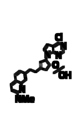 CNc1ccc2ccc(CCC3=CC(n4ccc5c(Cl)ncnc54)C(OC(C)(C)O)C3)cc2n1